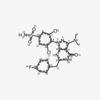 CN(C)c1nn(-c2c(Cl)cc(S(N)(=O)=O)cc2Cl)c2nc(Cc3ccc(F)cc3)[nH]c(=O)c12